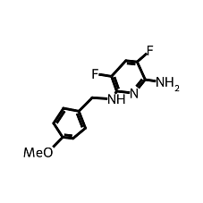 COc1ccc(CNc2nc(N)c(F)cc2F)cc1